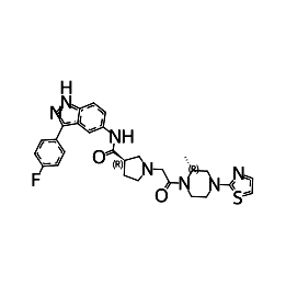 C[C@@H]1CN(c2nccs2)CCN1C(=O)CN1CC[C@@H](C(=O)Nc2ccc3[nH]nc(-c4ccc(F)cc4)c3c2)C1